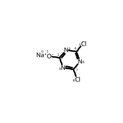 [Na+].[O-]c1nc(Cl)nc(Cl)n1